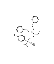 CCC(CCC(C#N)(c1ccc(F)cc1)C(C)C)N(CCc1ccccc1)CCc1ccccc1